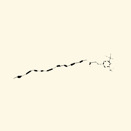 CC#CC#CC#CC#CC#CC#CC#CC#CC#COC(=O)CCc1cc(C(C)(C)C)c(O)c(C(C)(C)C)c1